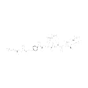 CNC(=O)CCNC(=O)CCc1ccc(NC(=O)COCC(=O)N(CC(=O)NCCN2C(=O)CC(SC(C(C)=O)C(N)=O)C2=O)CC(=O)C2(C(N)=O)SS2)cc1